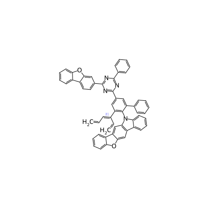 C=C/C=C(\C=C)c1cc(-c2nc(-c3ccccc3)nc(-c3ccc4c(c3)oc3ccccc34)n2)cc(-c2ccccc2)c1-n1c2ccccc2c2cc3oc4ccccc4c3cc21